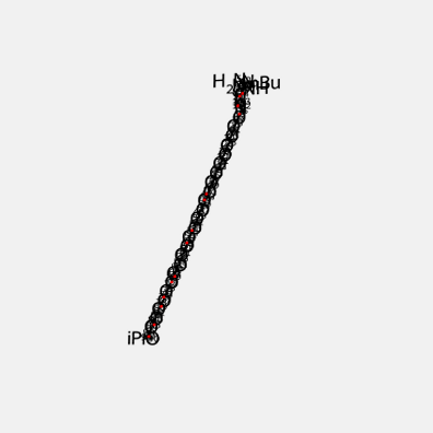 CCCCc1nc2c(N)nc3ccc(N4CCN(CCOCCOCCOCCOCCOCCOCCOCCOCCOCCOCCOCCOCCOCCOCCOCCOCCOCCOCCOCCOCCOCCOCCOCCOCCC(=O)C(C)C)CC4)cc3c2[nH]1